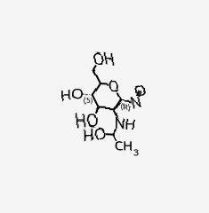 CC(O)NC1C(O)[C@H](O)C(CO)O[C@H]1N=O